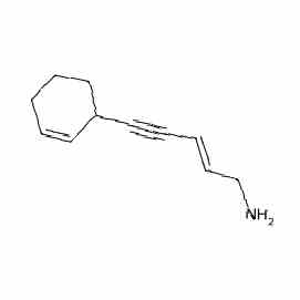 NCC=CC#CC1C=CCCC1